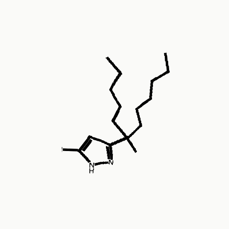 CCCCCCC(C)(CCCCC)c1cc(I)[nH]n1